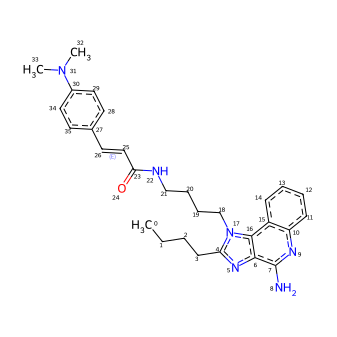 CCCCc1nc2c(N)nc3ccccc3c2n1CCCCNC(=O)/C=C/c1ccc(N(C)C)cc1